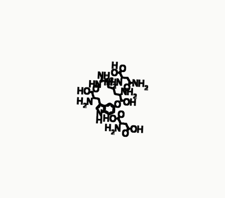 N=C(N)NCCC[C@H](N)C(=O)O.NC(=O)C[C@H](N)C(=O)O.N[C@@H](CC(=O)O)C(=O)O.N[C@@H](Cc1c[nH]c2ccccc12)C(=O)O